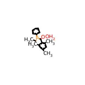 CCP(C(=O)c1c(C)cc(C)cc1C)c1ccccc1.O